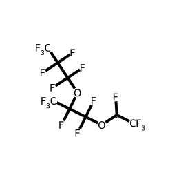 F[C](OC(F)(F)C(F)(OC(F)(F)C(F)(F)C(F)(F)F)C(F)(F)F)C(F)(F)F